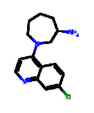 N[C@@H]1CCCCN(c2ccnc3cc(Cl)ccc23)C1